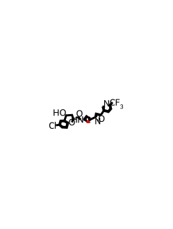 O=C(NC12CC(c3cc(-c4ccc(C(F)(F)F)nc4)on3)(C1)C2)[C@@H]1C[C@@H](O)c2cc(Cl)ccc2O1